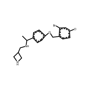 CC(NCC1CNC1)c1ccc(OCc2ccc(Cl)cc2Br)cc1